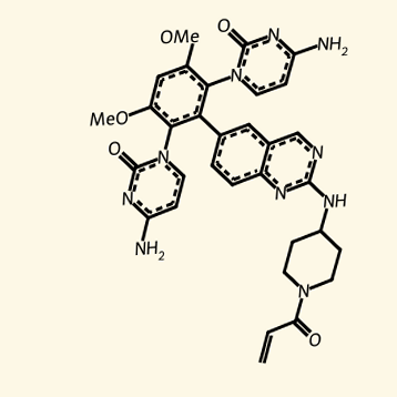 C=CC(=O)N1CCC(Nc2ncc3cc(-c4c(-n5ccc(N)nc5=O)c(OC)cc(OC)c4-n4ccc(N)nc4=O)ccc3n2)CC1